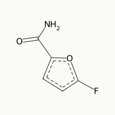 NC(=O)c1ccc(F)o1